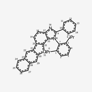 CC(C)c1cccc(C(C)C)c1-n1c(-c2ccccc2)nc2ccc3c4cc5ccccc5cc4oc3c21